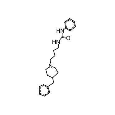 O=C(NCCCCN1CCC(Cc2ccccc2)CC1)Nc1ccccc1